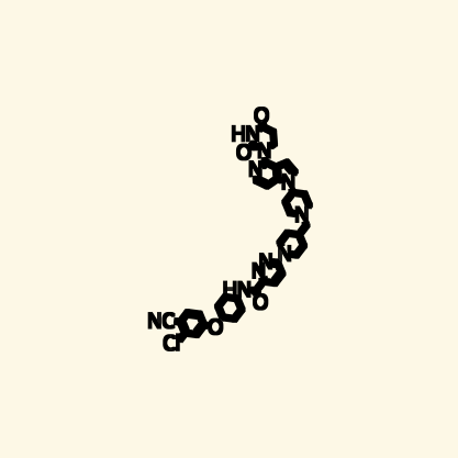 N#Cc1ccc(OC2CCC(NC(=O)c3ccc(N4CCC(CN5CCC(n6ccc7c(N8CCC(=O)NC8=O)nccc76)CC5)CC4)nn3)CC2)cc1Cl